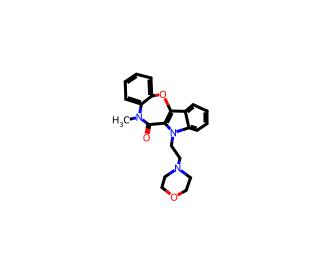 CN1C(=O)c2c(c3ccccc3n2CCN2CCOCC2)Oc2ccccc21